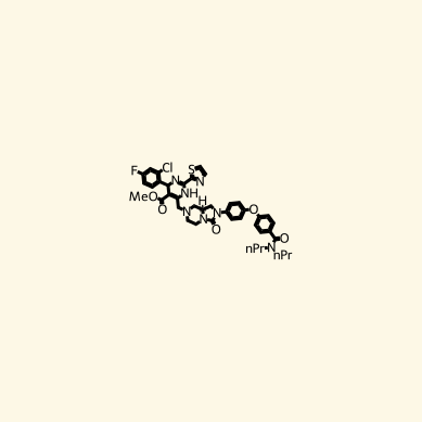 CCCN(CCC)C(=O)c1ccc(Oc2ccc(N3C[C@@H]4CN(CC5=C(C(=O)OC)C(c6ccc(F)cc6Cl)N=C(c6nccs6)N5)CCN4C3=O)cc2)cc1